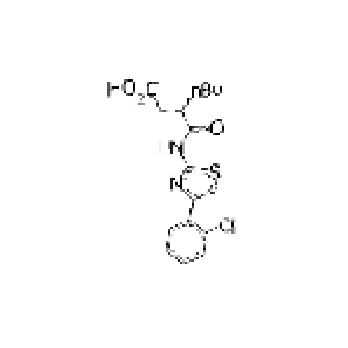 CCCC[C@H](CC(=O)O)C(=O)Nc1nc(-c2ccccc2Cl)cs1